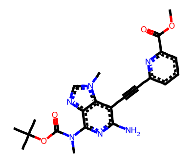 COC(=O)c1cccc(C#Cc2c(N)nc(N(C)C(=O)OC(C)(C)C)c3ncn(C)c23)n1